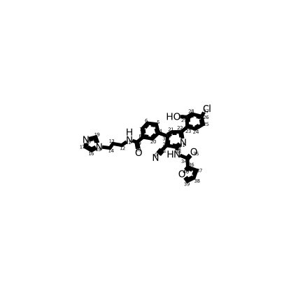 N#Cc1c(-c2cccc(C(=O)NCCCn3ccnc3)c2)cc(-c2ccc(Cl)cc2O)nc1NC(=O)c1ccco1